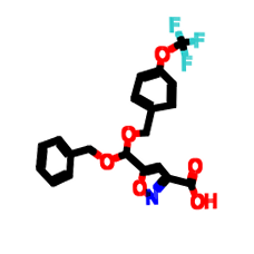 O=C(O)c1cc(C(OCc2ccccc2)OCc2ccc(OC(F)(F)F)cc2)on1